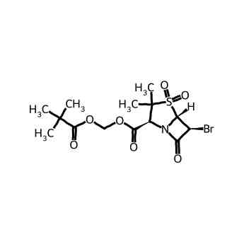 CC(C)(C)C(=O)OCOC(=O)[C@@H]1N2C(=O)[C@H](Br)[C@H]2S(=O)(=O)C1(C)C